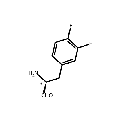 N[C@H](C=O)Cc1ccc(F)c(F)c1